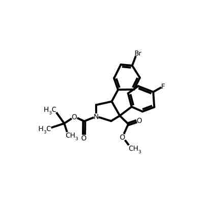 COC(=O)C1(c2ccc(F)cc2)CN(C(=O)OC(C)(C)C)CC1c1ccc(Br)cc1